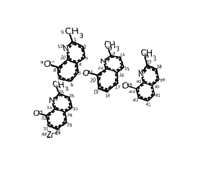 Cc1ccc2cccc([O-])c2n1.Cc1ccc2cccc([O-])c2n1.Cc1ccc2cccc([O-])c2n1.Cc1ccc2cccc([O-])c2n1.[Zr+4]